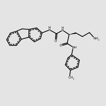 Cc1ccc(NC(=O)[C@H](CCCN)NC(=O)Nc2ccc3c(c2)Cc2ccccc2-3)cc1